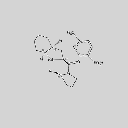 Cc1ccc(S(=O)(=O)O)cc1.N#C[C@@H]1CCCN1C(=O)[C@@H]1C[C@@H]2CCCC[C@@H]2N1